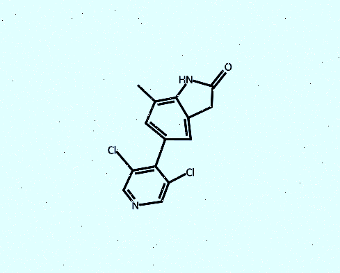 Cc1cc(-c2c(Cl)cncc2Cl)cc2c1NC(=O)C2